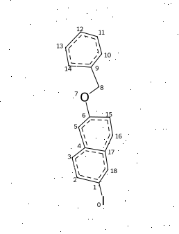 Ic1ccc2cc(OCc3ccccc3)ccc2c1